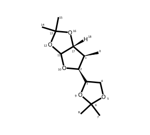 C[C@H]1[C@@H](C2COC(C)(C)O2)OC2OC(C)(C)O[C@@H]21